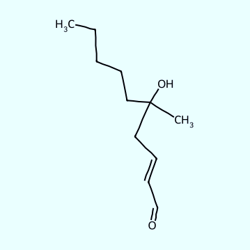 CCCCCC(C)(O)C/C=C/C=O